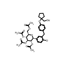 CC(=O)OC[C@H]1O[C@@H](c2ccc(Cl)c(Cc3ccc(OC4(CO)CCCC4)cc3)c2)[C@H](OC(C)=O)[C@@H](OC(C)=O)[C@@H]1OC(C)=O